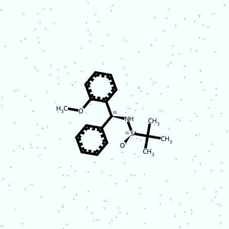 COc1ccccc1[C@@H](N[S@+]([O-])C(C)(C)C)c1ccccc1